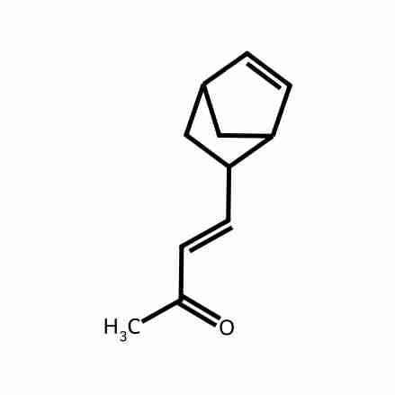 CC(=O)C=CC1CC2C=CC1C2